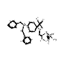 C[C@@H](CO[C@]1(C(F)(F)F)CC[C@@H](N(Cc2ccccc2)Cc2ccccc2)CC1)OS(=O)(=O)O